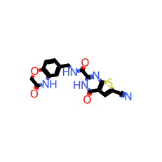 N#Cc1cc2c(=O)[nH]c(C(=O)NCc3ccc4c(c3)NC(=O)CO4)nc2s1